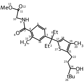 CCC(CC)(c1ccc(C(=O)NCC(=O)OC)c(C)c1)c1cc(C)c(CCC(O)C(C)(C)C)s1